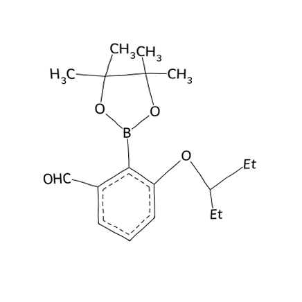 CCC(CC)Oc1cccc(C=O)c1B1OC(C)(C)C(C)(C)O1